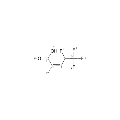 CC(=CC(F)C(F)(F)F)C(=O)O